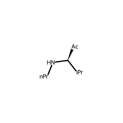 CCCN[C@@H](C(C)=O)C(C)C